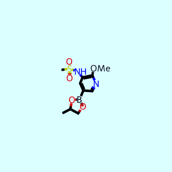 COc1ncc(B2OCC(C)O2)cc1NS(C)(=O)=O